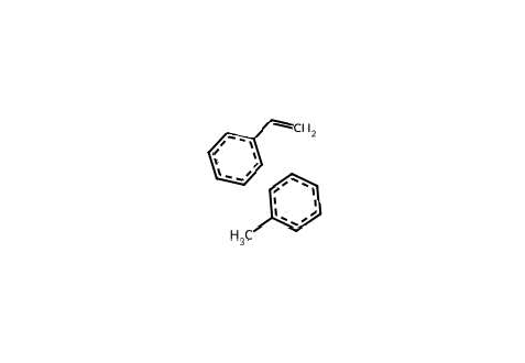 C=Cc1ccccc1.Cc1ccccc1